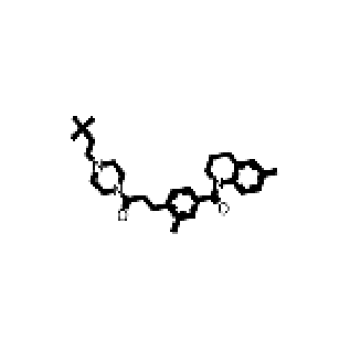 Cc1ccc2c(c1)CCCN2C(=O)c1ccc(CCC(=O)N2CCN(CCC(C)(C)C)CC2)c(C)c1